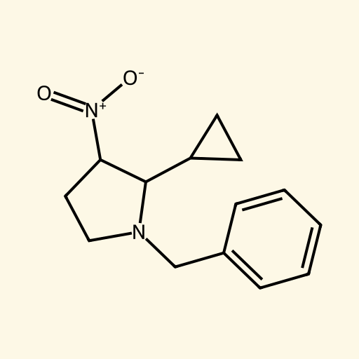 O=[N+]([O-])C1CCN(Cc2ccccc2)C1C1CC1